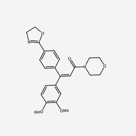 COc1ccc(C(=CC(=O)N2CCOCC2)c2ccc(C3=NCCO3)cc2)cc1OC